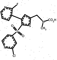 CN(Cc1cc(-c2cccnc2F)c(S(=O)(=O)c2ccnc(Cl)c2)s1)C(=O)O